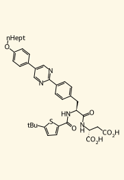 CCCCCCCOc1ccc(-c2cnc(-c3ccc(C[C@H](NC(=O)c4ccc(C(C)(C)C)s4)C(=O)N[C@H](CC(=O)O)C(=O)O)cc3)nc2)cc1